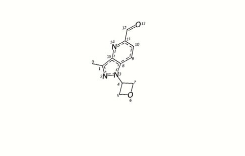 Cc1nn(C2COC2)c2ccc(C=O)nc12